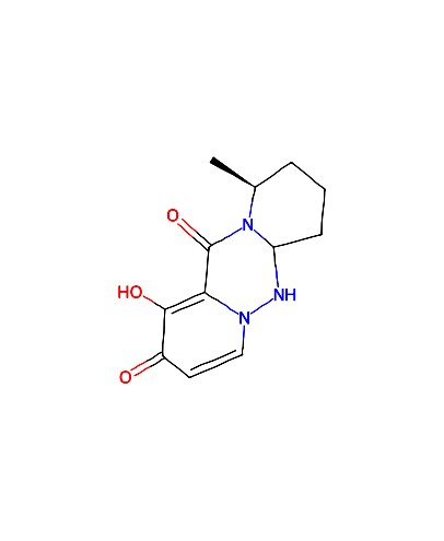 C[C@H]1CCCC2Nn3ccc(=O)c(O)c3C(=O)N21